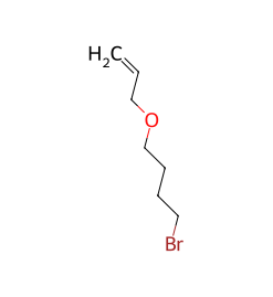 C=CCOCCCCBr